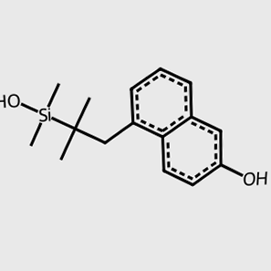 CC(C)(Cc1cccc2cc(O)ccc12)[Si](C)(C)O